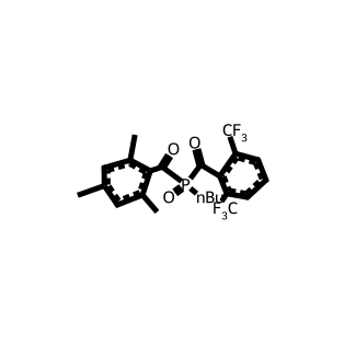 CCCCP(=O)(C(=O)c1c(C)cc(C)cc1C)C(=O)c1c(C(F)(F)F)cccc1C(F)(F)F